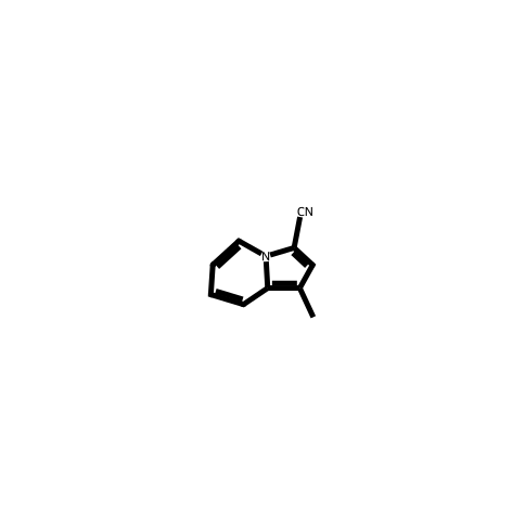 Cc1cc(C#N)n2ccccc12